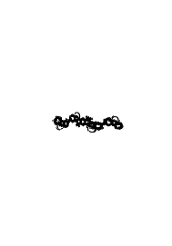 CC1(C)c2cc3c(cc2-c2oc4c(c21)C=C(c1ccc2oc5ccccc5c2c1)CC4)C(C)(C)c1c-3oc2ccc(-c3ccc4oc5ccccc5c4c3)cc12